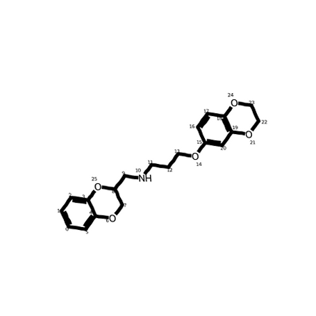 c1ccc2c(c1)OCC(CNCCCOc1ccc3c(c1)OCCO3)O2